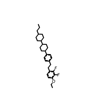 CCCC1CCC(C2CCC(c3ccc(CCc4ccc(OCC)c(F)c4F)cc3)CC2)CC1